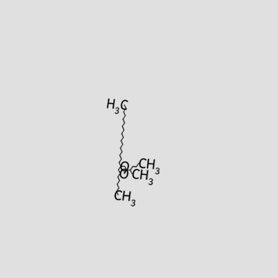 CCCCCCCCCCCCCCCCCC(CCCCCCCC)OC(=O)C(CC)CCCC